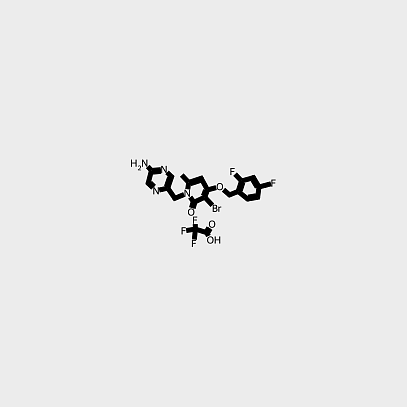 Cc1cc(OCc2ccc(F)cc2F)c(Br)c(=O)n1Cc1cnc(N)cn1.O=C(O)C(F)(F)F